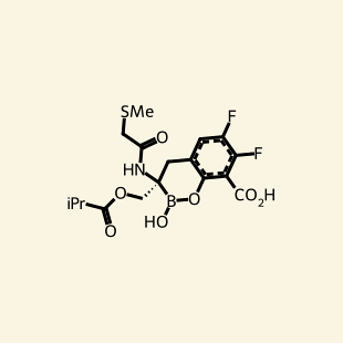 CSCC(=O)N[C@@]1(COC(=O)C(C)C)Cc2cc(F)c(F)c(C(=O)O)c2OB1O